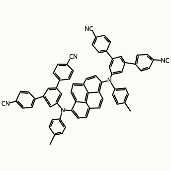 [C-]#[N+]c1ccc(-c2cc(-c3ccc(C#N)cc3)cc(N(c3ccc(C)cc3)c3ccc4ccc5c(N(c6ccc(C)cc6)c6cc(-c7ccc(C#N)cc7)cc(-c7ccc([N+]#[C-])cc7)c6)ccc6ccc3c4c65)c2)cc1